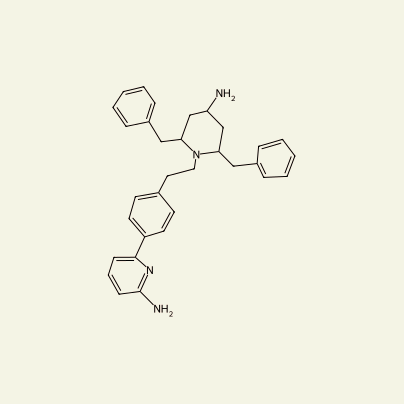 Nc1cccc(-c2ccc(CCN3C(Cc4ccccc4)CC(N)CC3Cc3ccccc3)cc2)n1